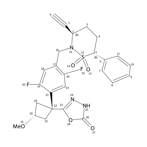 C#C[C@H]1CC[C@H](c2ccccc2)S(=O)(=O)N1Cc1cc(F)c([C@]2(c3n[nH]c(=O)o3)C[C@@H](OC)C2)cc1F